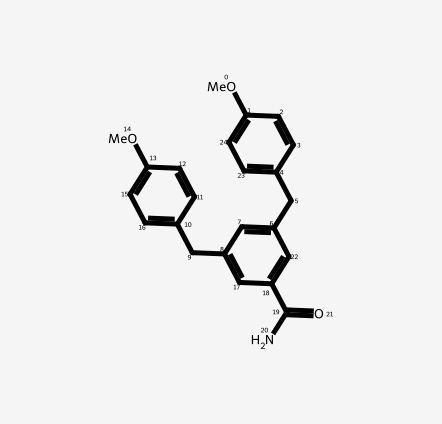 COc1ccc(Cc2cc(Cc3ccc(OC)cc3)cc(C(N)=O)c2)cc1